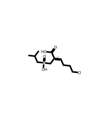 CC(C)CP(=O)(O)C/C(=C\CCCCl)C(=O)O